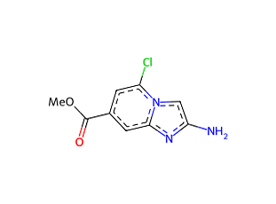 COC(=O)c1cc(Cl)n2cc(N)nc2c1